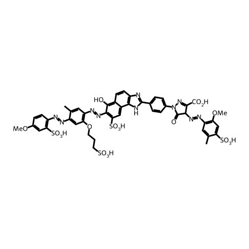 COc1ccc(/N=N/c2cc(OCCCS(=O)(=O)O)c(/N=N/c3c(S(=O)(=O)O)cc4c(ccc5nc(-c6ccc(N7N=C(C(=O)O)C(/N=N/c8cc(C)c(S(=O)(=O)O)cc8OC)C7=O)cc6)[nH]c54)c3O)cc2C)c(S(=O)(=O)O)c1